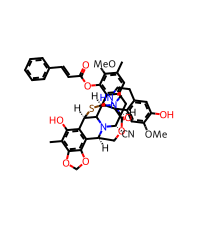 COc1cc2c(cc1O)CCN[C@]21CS[C@@H]2c3c(O)c(C)c4c(c3[C@H](COC1=O)N1C2[C@H]2c3c(cc(C)c(OC)c3OC(=O)/C=C/c3ccccc3)C[C@@H]([C@@H]1C#N)N2C)OCO4